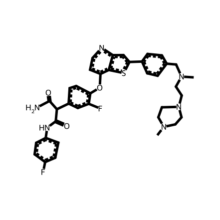 CN1CCN(CCN(C)Cc2ccc(-c3cc4nccc(Oc5ccc(C(C(N)=O)C(=O)Nc6ccc(F)cc6)cc5F)c4s3)cc2)CC1